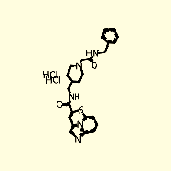 Cl.Cl.O=C(CN1CCC(CNC(=O)C2=Cc3cnc4cccc(n34)S2)CC1)NCc1ccccc1